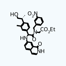 CCOC(=O)CN(Cc1cccc([N+](=O)[O-])c1)C(=O)C(Nc1ccc2cc[nH]c(=O)c2c1)c1ccc([C@@H](C)CO)c(C)c1